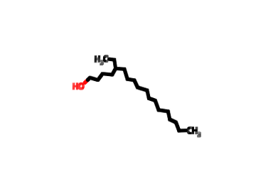 CCCCCCCCCCCCCC(CC)CCCCO